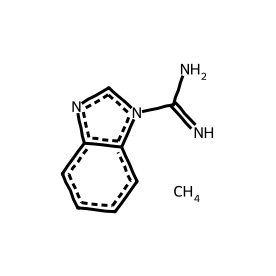 C.N=C(N)n1cnc2ccccc21